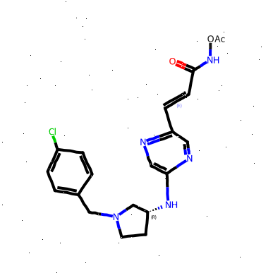 CC(=O)ONC(=O)/C=C/c1cnc(N[C@@H]2CCN(Cc3ccc(Cl)cc3)C2)cn1